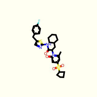 Cc1cc(S(=O)(=O)C2CCCC2)cc(=O)n1C(CC1CCCCC1)C(=O)Nc1ncc(Cc2ccc(F)cc2)s1